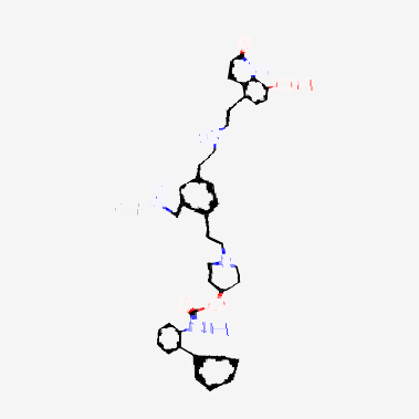 O=CNCc1cc(CCNCCc2ccc(O)c3[nH]c(=O)ccc23)ccc1CCN1CCC(OC(=O)Nc2ccccc2-c2ccccc2)CC1